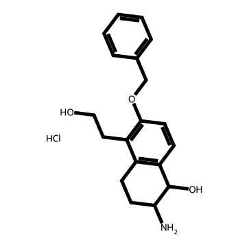 Cl.NC1CCc2c(ccc(OCc3ccccc3)c2CCO)C1O